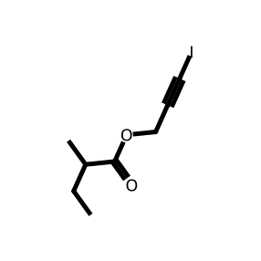 CCC(C)C(=O)OCC#CI